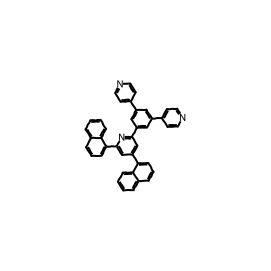 c1ccc2c(-c3cc(-c4cc(-c5ccncc5)cc(-c5ccncc5)c4)nc(-c4cccc5ccccc45)c3)cccc2c1